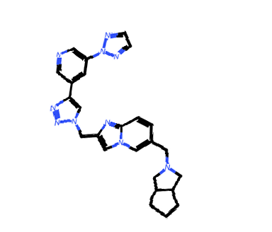 c1cnn(-c2cncc(-c3cn(Cc4cn5cc(CN6CC7CCCC7C6)ccc5n4)nn3)c2)n1